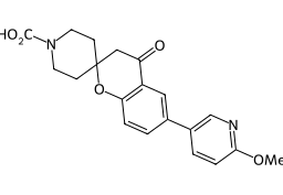 COc1ccc(-c2ccc3c(c2)C(=O)CC2(CCN(C(=O)O)CC2)O3)cn1